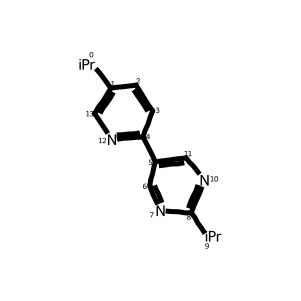 CC(C)c1ccc(-c2cnc(C(C)C)nc2)nc1